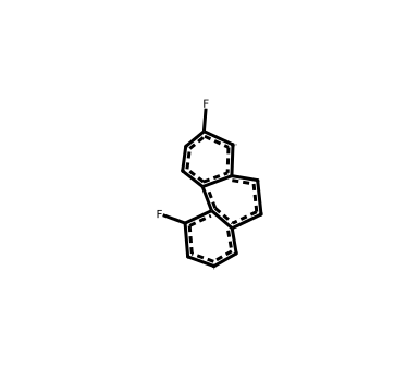 Fc1[c]c2ccc3c[c]cc(F)c3c2cc1